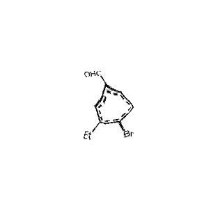 CCc1cc(C=O)ccc1Br